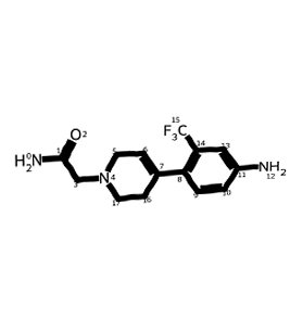 NC(=O)CN1CC=C(c2ccc(N)cc2C(F)(F)F)CC1